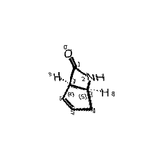 O=C1N[C@H]2CC=C[C@@H]12